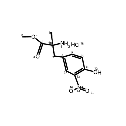 COC(=O)[C@](C)(N)Cc1ccc(O)c([N+](=O)[O-])c1.Cl